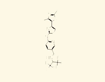 Cc1nc(C)c(-c2csc(Nc3ccc(CNC(C(F)(F)F)C(F)(F)F)cn3)n2)s1